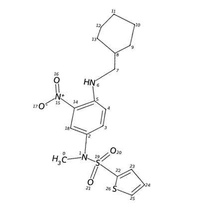 CN(c1ccc(NCC2CCCCC2)c([N+](=O)[O-])c1)S(=O)(=O)c1cccs1